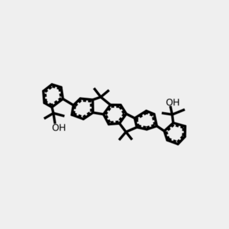 CC(C)(O)c1ccccc1-c1ccc2c(c1)C(C)(C)c1cc3c(cc1-2)C(C)(C)c1cc(-c2ccccc2C(C)(C)O)ccc1-3